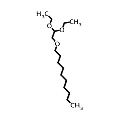 CCCCCCCCCCOCC(OCC)OCC